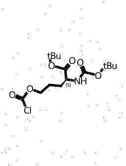 CC(C)(C)OC(=O)N[C@@H](CCCOC(=O)Cl)C(=O)OC(C)(C)C